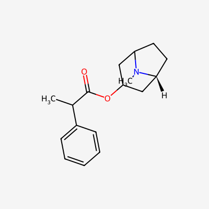 CC(C(=O)OC1CC2CC[C@H](C1)N2C)c1ccccc1